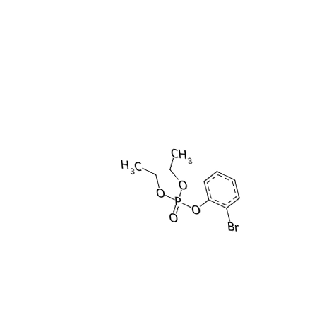 CCOP(=O)(OCC)Oc1ccccc1Br